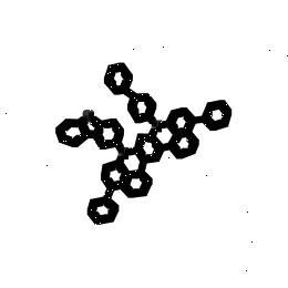 c1ccc(-c2ccc(N(c3ccc(-c4ccccc4)cc3)c3cc(N(c4ccc(-c5ccccc5)cc4)c4ccc5oc6ccccc6c5c4)c(-c4ccccc4)cc3-c3ccccc3)cc2)cc1